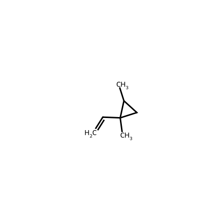 C=CC1(C)CC1C